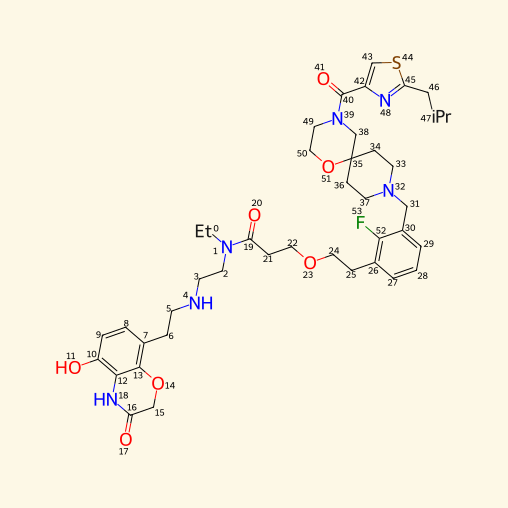 CCN(CCNCCc1ccc(O)c2c1OCC(=O)N2)C(=O)CCOCCc1cccc(CN2CCC3(CC2)CN(C(=O)c2csc(CC(C)C)n2)CCO3)c1F